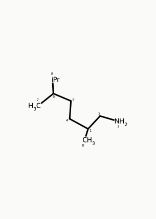 CC(CN)CCC(C)C(C)C